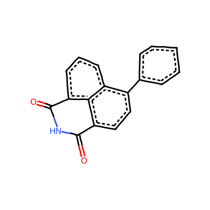 O=C1NC(=O)c2ccc(-c3ccccc3)c3cccc1c23